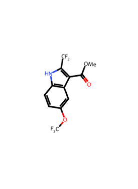 COC(=O)c1c(C(F)(F)F)[nH]c2ccc(OC(F)(F)F)cc12